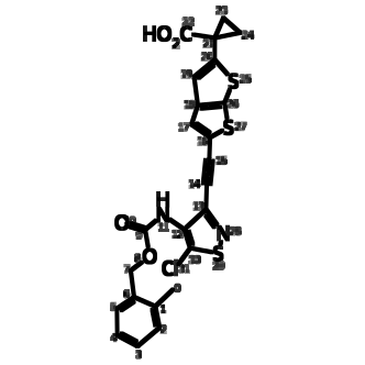 Cc1ccccc1COC(=O)Nc1c(C#Cc2cc3cc(C4(C(=O)O)CC4)sc3s2)nsc1Cl